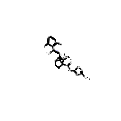 Cc1noc(NC(=O)C23CCC(C(/C=C(\N)c4c(F)cccc4F)=C2N)C3(C)C)n1